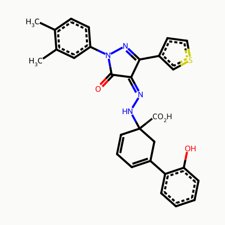 Cc1ccc(N2N=C(c3ccsc3)C(=NNC3(C(=O)O)C=CC=C(c4ccccc4O)C3)C2=O)cc1C